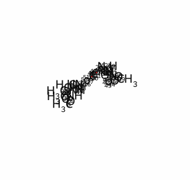 COC(=O)N[C@H](C(=O)N[C@@H](C)c1ncc(-c2ccc(C34CCC(c5cnc([C@@H]6CCCN6C(=O)[C@H](NC(=O)OC)c6ccccc6)[nH]5)(CC3)CC4)cc2)[nH]1)C(C)C